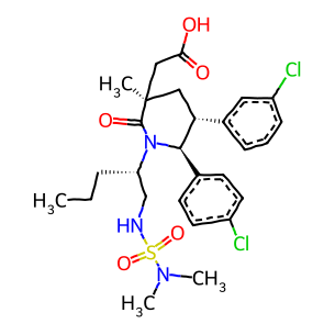 CCC[C@@H](CNS(=O)(=O)N(C)C)N1C(=O)[C@@](C)(CC(=O)O)C[C@H](c2cccc(Cl)c2)[C@H]1c1ccc(Cl)cc1